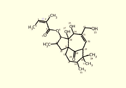 C/C=C(/C)C(=O)OC1C(C)CC23CCC(C)C(C)(C)C(C=C(CO)C(O)C12O)C3=O